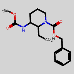 CC(C)(C)OC(=O)NC1CCCN(C(=O)OCc2ccccc2)C1CC(=O)O